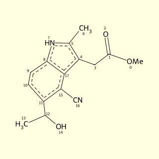 COC(=O)Cc1c(C)[nH]c2ccc(C(C)O)c(C#N)c12